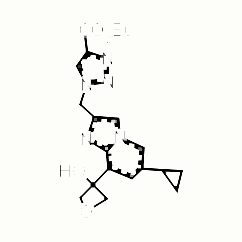 CCOC(=O)c1cn(Cc2cn3cc(C4CC4)cc(C4(O)COC4)c3n2)nn1